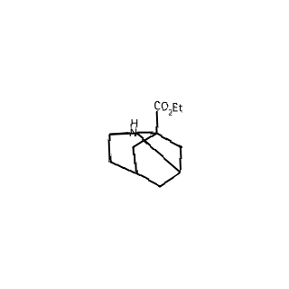 CCOC(=O)C12CC3CC(CC(C3)N1)C2